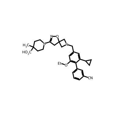 CCOc1cc(CN2CC3(CC(N4CCC(C)(C(=O)O)CC4)=NO3)C2)cc(C2CC2)c1-c1cccc(C#N)c1